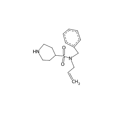 C=CCN(Cc1ccccc1)S(=O)(=O)C1CCNCC1